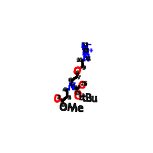 COC(=O)CCN(CCOCCN=[N+]=[N-])C(=O)OC(C)(C)C